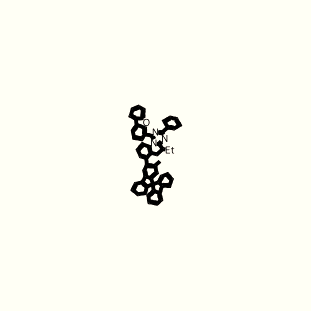 CCC(Cc1ccccc1-c1cc2c(cc1C)C1(C3=C2C=CCC3)c2ccccc2-c2ccccc21)c1nc(-c2ccccc2)nc(-c2cccc3c2oc2ccccc23)n1